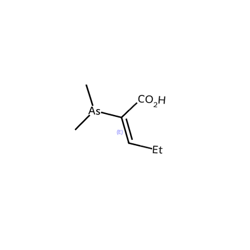 CC/C=C(\C(=O)O)[As](C)C